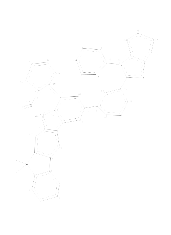 CC1(C)c2ccccc2-c2cc3c4cc(-c5cccc(-c6nc7ccccc7n6-c6ccccc6)c5)cc5c6ccccc6c(=O)n(c3cc21)c54